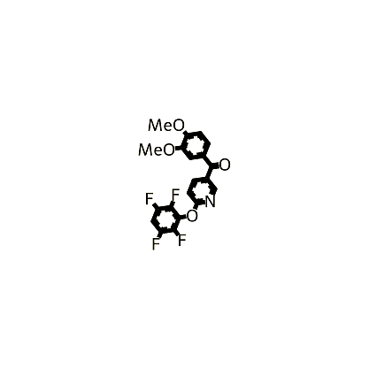 COc1ccc(C(=O)c2ccc(Oc3c(F)c(F)cc(F)c3F)nc2)cc1OC